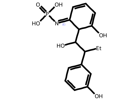 CCC(c1cccc(O)c1)C(O)C1C(O)=CC=C/C1=N\P(=O)(O)O